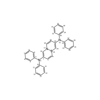 C1=CC(N(c2ccccc2)c2ccccc2)=CN2C=CC(N(c3ccccc3)c3ccccc3)=CB12